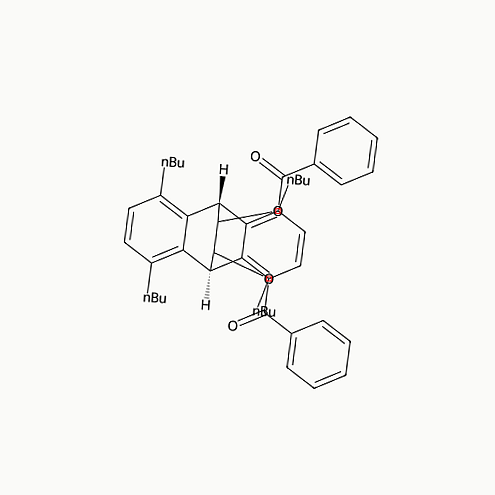 CCCCc1ccc(CCCC)c2c1[C@H]1c3c(CCCC)ccc(CCCC)c3[C@H]2C(OC(=O)c2ccccc2)C1OC(=O)c1ccccc1